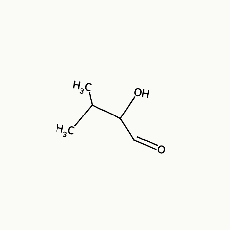 CC(C)C(O)C=O